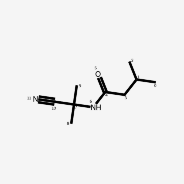 CC(C)CC(=O)NC(C)(C)C#N